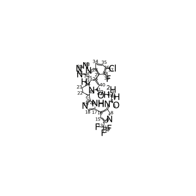 [2H]C([2H])([2H])C(=O)Nc1cnc(C(F)(F)F)cc1-c1cnc([C@@H]2CC[C@@H]3CC(c4c(-n5cnnn5)ccc(Cl)c4F)=CC(=O)N32)[nH]1